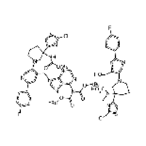 CN(C(=O)O)C1(c2csc(Cl)n2)CCCN(c2cnc(-c3ccc(F)cc3)cc2CO)C1.COC(=O)NC1(c2csc(Cl)n2)CCCN(c2cnc(-c3ccc(F)cc3)cc2Cn2cnc3c(N(C(=O)OC(C)(C)C)C(=O)OC(C)(C)C)ncnc32)C1